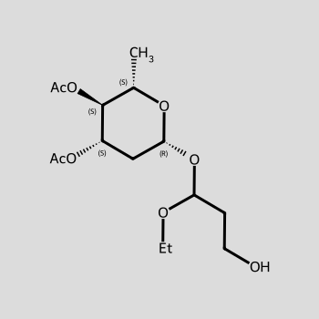 CCOC(CCO)O[C@@H]1C[C@H](OC(C)=O)[C@@H](OC(C)=O)[C@H](C)O1